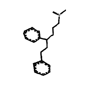 CN(C)CCCC(CCc1ccccc1)c1ccccc1